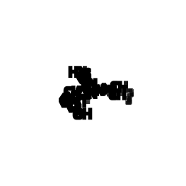 CN(C)C1CN(c2nc(N3CC4CCCC3CN4)c3cc(Cl)c(-c4cc(O)cc5cccnc45)c(F)c3n2)C1